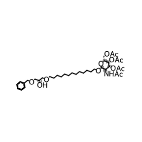 CC(=O)N[C@H]1[C@H](OCCCCCCCCCCCCCOC[C@H](O)COCc2ccccc2)O[C@H](COC(C)=O)[C@H](OC(C)=O)[C@@H]1OC(C)=O